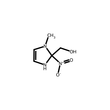 CN1C=CNC1(CO)[N+](=O)[O-]